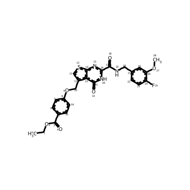 CCOC(=O)c1ccc(OCc2csc3nc(C(=O)NCc4ccc(F)c(OC)c4)[nH]c(=O)c23)cc1